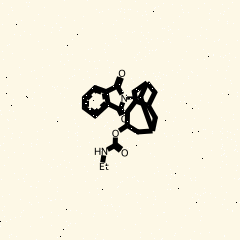 CCNC(=O)OC1CC2CC3CC2CC(C1)[C@H]3N1C(=O)c2ccccc2C1=O